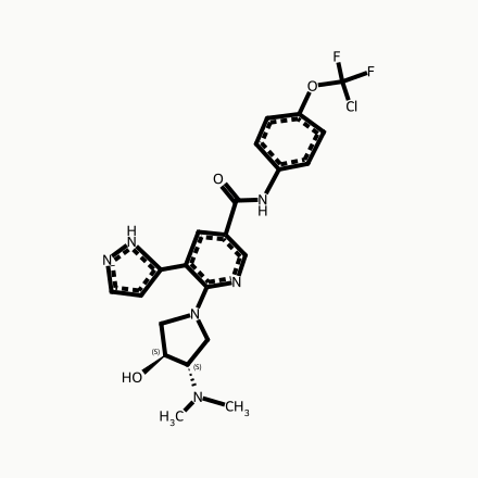 CN(C)[C@H]1CN(c2ncc(C(=O)Nc3ccc(OC(F)(F)Cl)cc3)cc2-c2ccn[nH]2)C[C@@H]1O